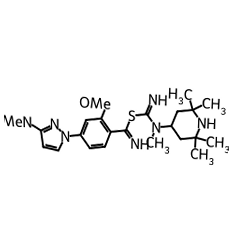 CNc1ccn(-c2ccc(C(=N)SC(=N)N(C)C3CC(C)(C)NC(C)(C)C3)c(OC)c2)n1